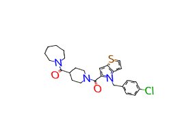 O=C(c1cc2sccc2n1Cc1ccc(Cl)cc1)N1CCC(C(=O)N2CCCCCC2)CC1